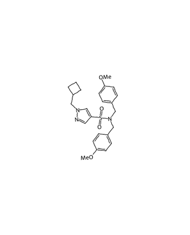 COc1ccc(CN(Cc2ccc(OC)cc2)S(=O)(=O)c2cnn(CC3CCC3)c2)cc1